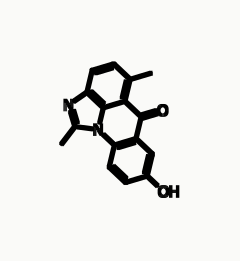 Cc1ccc2nc(C)n3c4ccc(O)cc4c(=O)c1c23